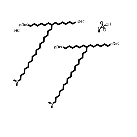 CCCCCCCCCCCCCCCCC(CCCCCCCCCCCCCCCC)CCCCCCCCCCCCCCCCCN(C)C.CCCCCCCCCCCCCCCCC(CCCCCCCCCCCCCCCC)CCCCCCCCCCCCCCCCCN(C)C.COS(=O)(=O)O.Cl